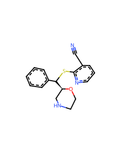 N#Cc1cccnc1SC(c1ccccc1)[C@@H]1CNCCO1